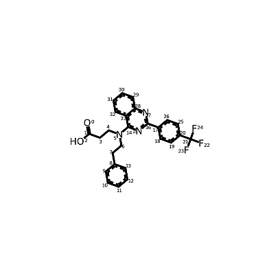 O=C(O)CCN(CCc1ccccc1)c1nc(-c2ccc(C(F)(F)F)cc2)nc2ccccc12